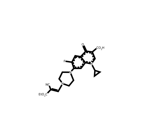 CCOC(=O)C(C#N)=CN1CCN(c2cc3c(cc2F)c(=O)c(C(=O)O)cn3C2CC2)CC1